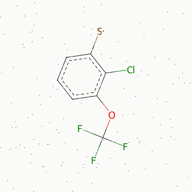 FC(F)(F)Oc1cccc([S])c1Cl